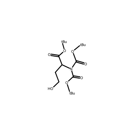 CC(C)(C)OC(=O)C(CCO)N(C(=O)OC(C)(C)C)C(=O)OC(C)(C)C